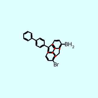 Bc1cccc(C2=C\CC/C(c3cccc(Br)c3)=C/C(c3ccc(-c4ccccc4)cc3)=C\2)c1